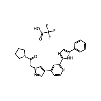 O=C(Cn1cc(-c2ccnc(-c3ncc(-c4ccccc4)[nH]3)c2)cn1)N1CCCC1.O=C(O)C(F)(F)F